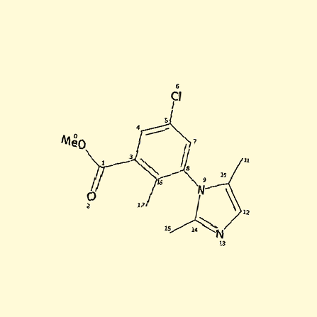 COC(=O)c1cc(Cl)cc(-n2c(C)cnc2C)c1C